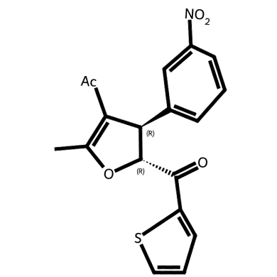 CC(=O)C1=C(C)O[C@@H](C(=O)c2cccs2)[C@@H]1c1cccc([N+](=O)[O-])c1